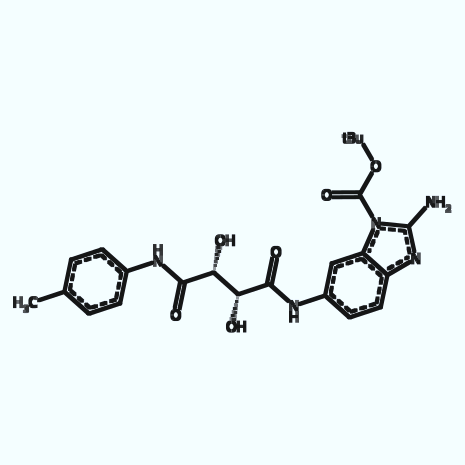 Cc1ccc(NC(=O)[C@H](O)[C@@H](O)C(=O)Nc2ccc3nc(N)n(C(=O)OC(C)(C)C)c3c2)cc1